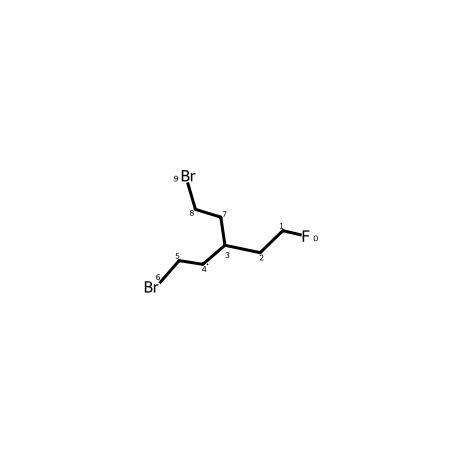 FCCC([CH]CBr)CCBr